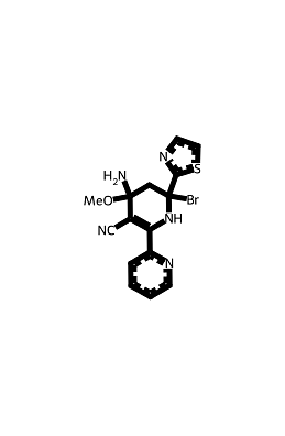 COC1(N)CC(Br)(c2nccs2)NC(c2ccccn2)=C1C#N